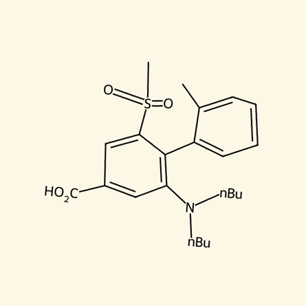 CCCCN(CCCC)c1cc(C(=O)O)cc(S(C)(=O)=O)c1-c1ccccc1C